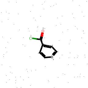 O=C(Cl)c1ccbcc1